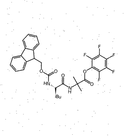 CC[C@H](C)[C@H](NC(=O)OCC1c2ccccc2-c2ccccc21)C(=O)NC(C)(C)C(=O)Oc1c(F)c(F)c(F)c(F)c1F